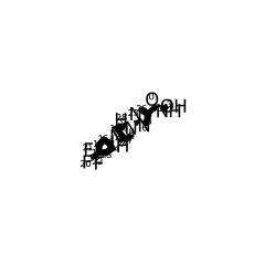 O=C(NO)c1cnc(N2C[C@@H]3C[C@H]2CN3c2ccc(C(F)(F)F)cc2)nc1